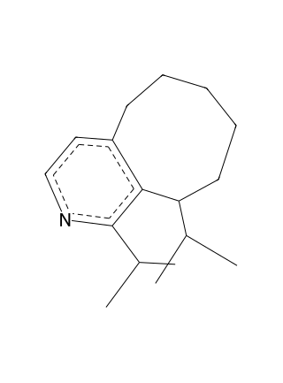 CC(C)c1nccc2c1C(C(C)C)CCCCC2